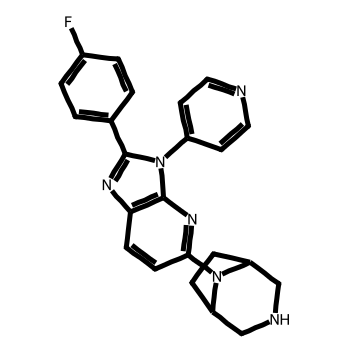 Fc1ccc(-c2nc3ccc(N4C5CCC4CNC5)nc3n2-c2ccncc2)cc1